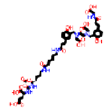 O=CO[C@H](CCCCNC(=O)CCCCCNC(=O)CCc1ccc(O)c(CN(CCN(CC(=O)O)Cc2cc(CCC(=O)NCC(=O)O)ccc2O)CC(=O)O)c1)NC(=O)N[C@@H](CCC(=O)O)C(=O)O